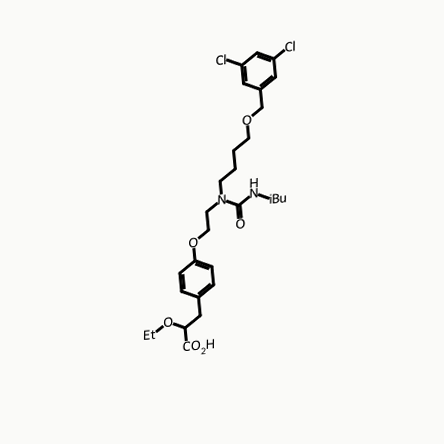 CCOC(Cc1ccc(OCCN(CCCCOCc2cc(Cl)cc(Cl)c2)C(=O)NC(C)CC)cc1)C(=O)O